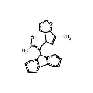 CC1=C[CH]([Zr]([CH]2c3ccccc3-c3ccccc32)=[Si](C)C)c2ccccc21